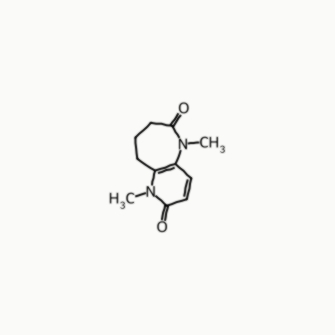 CN1C(=O)CCCc2c1ccc(=O)n2C